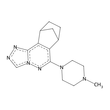 CN1CCN(c2nn3cnnc3c3c2C2CCC3C2)CC1